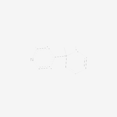 ClC1(c2n[c]ncn2)C=CC=CN1